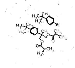 CC(C)(C)c1ccc(Br)cc1.CC(C)C(=O)OCC(O)(COC(=O)C(C)C)c1ccc(C(C)(C)C)cc1